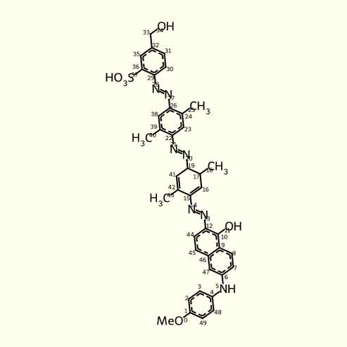 COc1ccc(Nc2ccc3c(O)c(N=NC4=CC(C)C(N=Nc5cc(C)c(N=Nc6ccc(CO)cc6S(=O)(=O)O)cc5C)C=C4C)ccc3c2)cc1